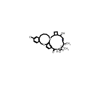 C[C@@H]1/C=C/C(O)C2CCC2CN2CCCCc3cc(Cl)ccc3COc3ccc(cc32)C(=O)NS(=O)(=O)[C@H]1C